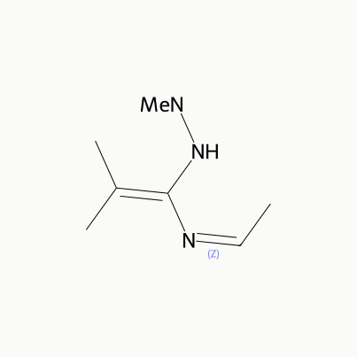 C/C=N\C(NNC)=C(C)C